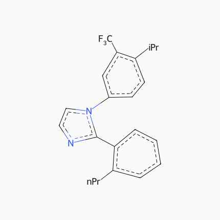 CCCc1ccccc1-c1nccn1-c1ccc(C(C)C)c(C(F)(F)F)c1